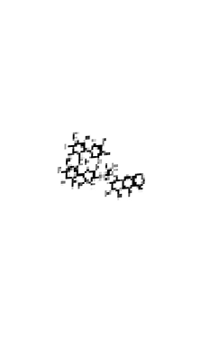 Fc1c(F)c(F)c(-c2c(F)c(F)c(F)c(F)c2F)c(F)c1F.Fc1c(F)c(F)c(-c2c(F)c(F)c(F)c(F)c2F)c(F)c1F.OB(O)Oc1c(F)c(F)c(F)c2c(F)c3c(F)cccc3cc12